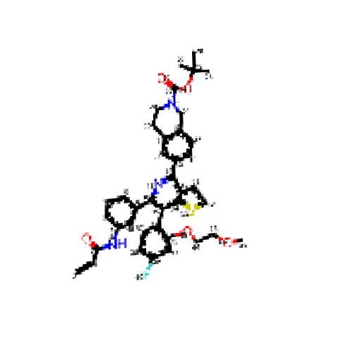 C=CC(=O)Nc1cccc(-c2nc(-c3ccc4c(c3)CCN(C(=O)OC(C)(C)C)C4)c3ccsc3c2-c2ccc(F)cc2OCCOC)c1